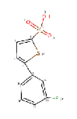 O=S(=O)(O)c1ccc(-c2cccc(F)c2)s1